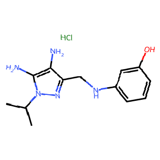 CC(C)n1nc(CNc2cccc(O)c2)c(N)c1N.Cl